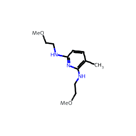 COCCNc1ccc(C)c(NCCOC)n1